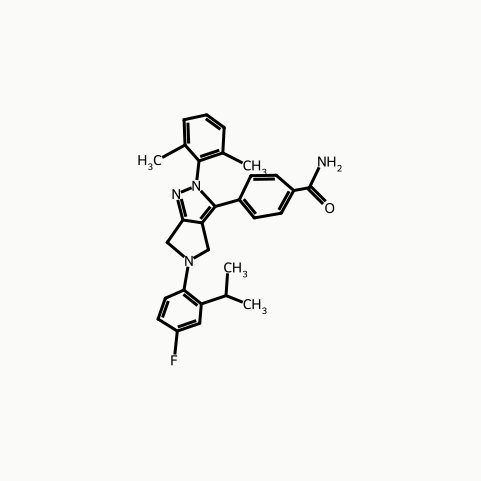 Cc1cccc(C)c1-n1nc2c(c1-c1ccc(C(N)=O)cc1)CN(c1ccc(F)cc1C(C)C)C2